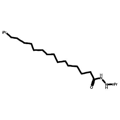 CCCNNC(=O)CCCCCCCCCCCCCCC(C)C